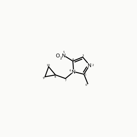 Cc1ncc([N+](=O)[O-])n1CC1CC1